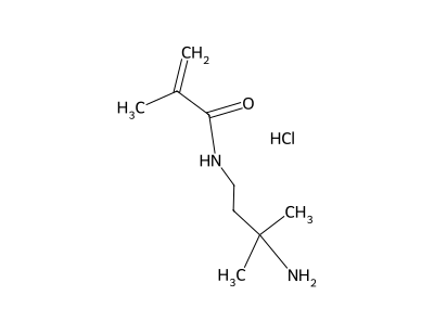 C=C(C)C(=O)NCCC(C)(C)N.Cl